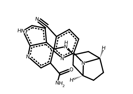 N#Cc1ccc(N2[C@@H]3CC[C@H]2C[C@@H](Nc2c(C(N)=O)cnc4[nH]ccc24)C3)nc1